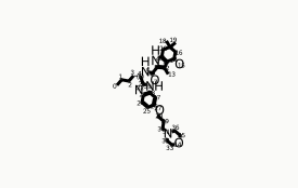 CCCC[C@H](NC(=O)c1[nH]c2c(c1C)C(=O)CC(C)(C)C2)c1nc2ccc(OCCCN3CCOCC3)cc2[nH]1